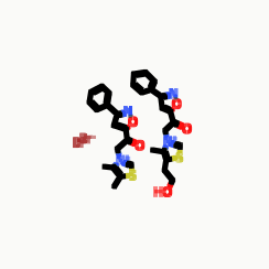 Cc1c(CCO)sc[n+]1CC(=O)c1cc(-c2ccccc2)no1.Cc1sc[n+](CC(=O)c2cc(-c3ccccc3)no2)c1C.[Br-].[Br-]